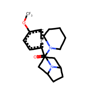 O=C(N1CCCCC1)N1C2CCC1CC(c1ccc(OC(F)(F)F)cc1)C2